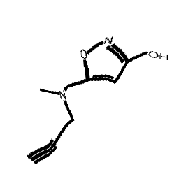 C#CCN(C)c1cc(O)no1